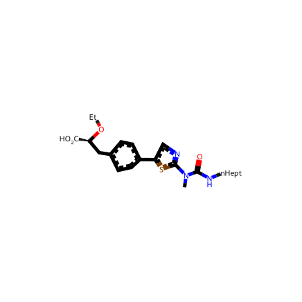 CCCCCCCNC(=O)N(C)c1ncc(-c2ccc(C[C@H](OCC)C(=O)O)cc2)s1